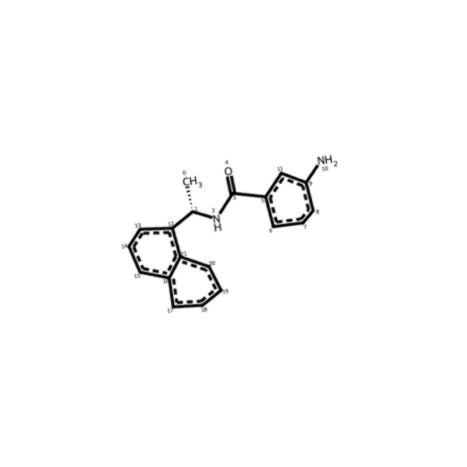 C[C@H](NC(=O)c1cccc(N)c1)c1cccc2ccccc12